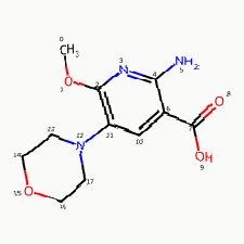 COc1nc(N)c(C(=O)O)cc1N1CCOCC1